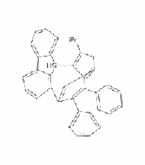 CC(C)C1=C2c3c(cc(c(-c4ccccc4)c3-c3ccccc3)-c3cccc4c3[SiH]2c2ccccc2-4)[CH]1